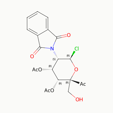 CC(=O)O[C@@H]1[C@H](N2C(=O)c3ccccc3C2=O)[C@@H](Cl)O[C@@](CO)(C(C)=O)[C@@H]1OC(C)=O